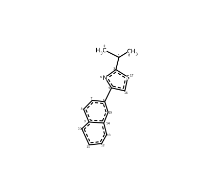 CC(C)c1nc(-c2ccc3ccccc3c2)cs1